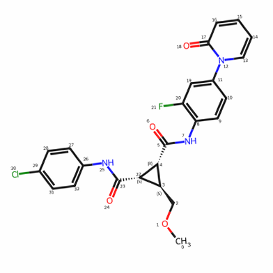 COC[C@@H]1[C@@H](C(=O)Nc2ccc(-n3ccccc3=O)cc2F)[C@H]1C(=O)Nc1ccc(Cl)cc1